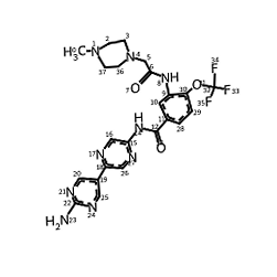 CN1CCN(CC(=O)Nc2cc(C(=O)Nc3cnc(-c4cnc(N)nc4)cn3)ccc2OC(F)(F)F)CC1